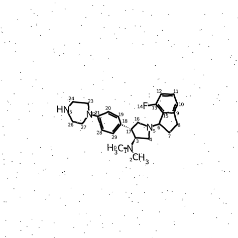 CN(C)[C@@H]1CN(C2CCc3cccc(F)c32)C[C@H]1c1ccc(N2CCNCC2)cc1